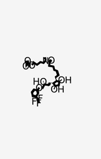 CN(CCCCO[N+](=O)[O-])C(=O)CCC/C=C\C[C@@H]1[C@@H](/C=C/[C@@H](O)COc2cccc(C(F)(F)F)c2)[C@H](O)C[C@@H]1O